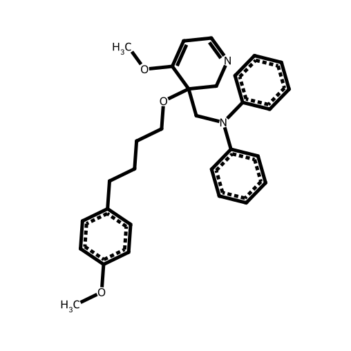 COC1=CC=NCC1(CN(c1ccccc1)c1ccccc1)OCCCCc1ccc(OC)cc1